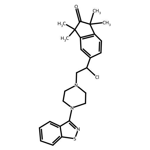 CC1(C)C(=O)C(C)(C)c2cc(C(Cl)CN3CCN(c4nsc5ccccc45)CC3)ccc21